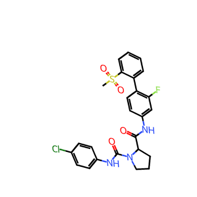 CS(=O)(=O)c1ccccc1-c1ccc(NC(=O)C2CCCN2C(=O)Nc2ccc(Cl)cc2)cc1F